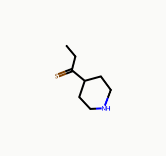 CCC(=S)C1CCNCC1